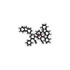 N#Cc1cc(-c2nc(-c3ccc4sc5ccccc5c4c3)nc(-c3ccccc3)c2C#N)ccc1-n1c2ccccc2c2ccc3c4ccccc4n(-c4ccccc4)c3c21